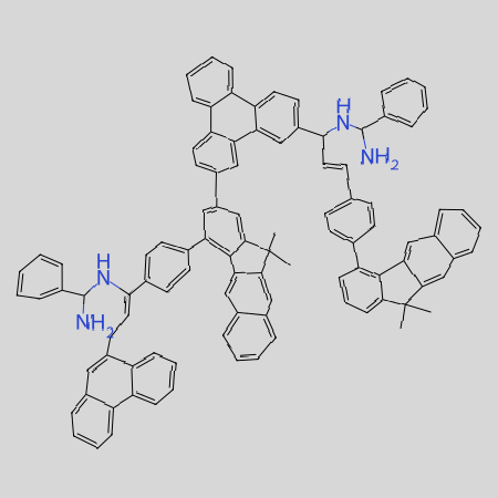 CC1(C)c2cc3ccccc3cc2-c2c(-c3ccc(/C=C/C(NC(N)c4ccccc4)c4ccc5c6ccccc6c6ccc(-c7cc(-c8ccc(/C(=C/Cc9cc%10ccccc%10c%10ccccc9%10)NC(N)c9ccccc9)cc8)c8c(c7)C(C)(C)c7cc9ccccc9cc7-8)cc6c5c4)cc3)cccc21